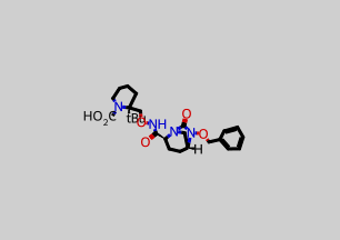 CC(C)(C)[C@]1(CONC(=O)[C@@H]2CC[C@@H]3CN2C(=O)N3OCc2ccccc2)CCCCN1C(=O)O